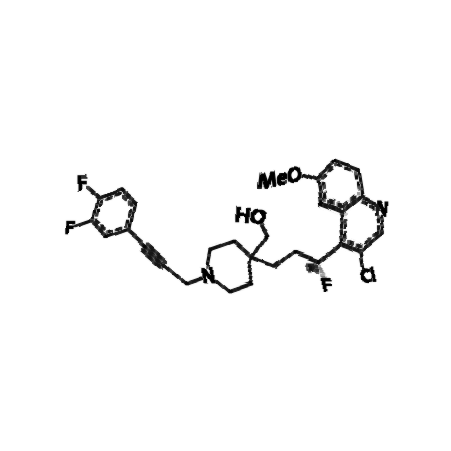 COc1ccc2ncc(Cl)c([C@H](F)CCC3(CO)CCN(CC#Cc4ccc(F)c(F)c4)CC3)c2c1